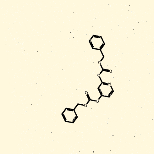 O=C(OCc1ccccc1)Oc1ccnc(OC(=O)OCc2ccccc2)c1